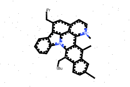 Cc1ccc2c(CC(C)(C)C)c3c(c(C)c2c1)c1c2c(cc[n+]1C)cc(CC(C)C)c1c4ccccc4n3c12